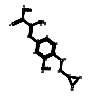 COC(=O)C(N)=Cc1ccc(OCC2CO2)c(OC)c1